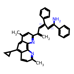 C=C(/C=C(\C=C(/N)c1ccccc1)c1ccccc1)c1cc(C)c2cc(C3CC3)c3ccc(C)nc3c2n1